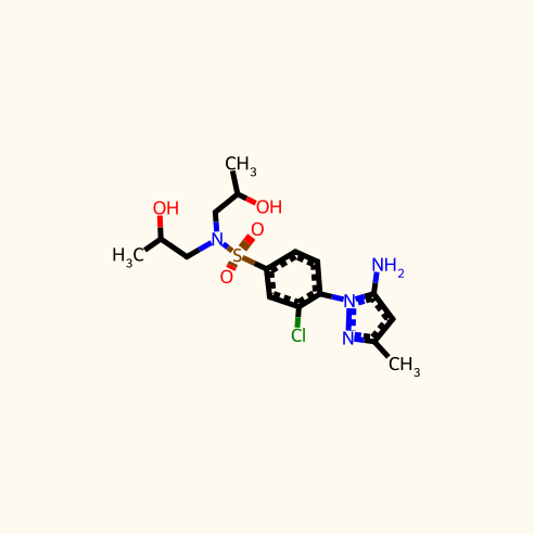 Cc1cc(N)n(-c2ccc(S(=O)(=O)N(CC(C)O)CC(C)O)cc2Cl)n1